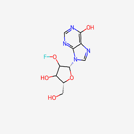 OC[C@H]1O[C@@H](n2cnc3c(O)ncnc32)C(OF)C1O